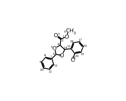 COC(=O)C1OC(c2ccccc2)OC1c1ccccc1Cl